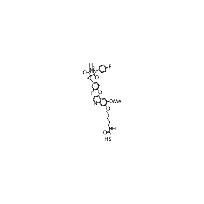 COc1cc2c(Oc3ccc(C4CC4(C(N)=O)C(=O)Nc4ccc(F)cc4)cc3F)ccnc2cc1OCCCCCNC(=O)CS